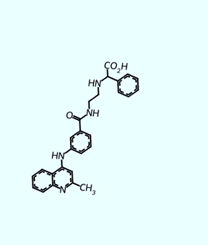 Cc1cc(Nc2cccc(C(=O)NCCNC(C(=O)O)c3ccccc3)c2)c2ccccc2n1